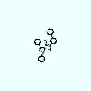 O=C(Nc1cccc(-c2cccnc2)c1)[C@@H]1CN(c2ccccc2)C[C@H]1c1ccccc1